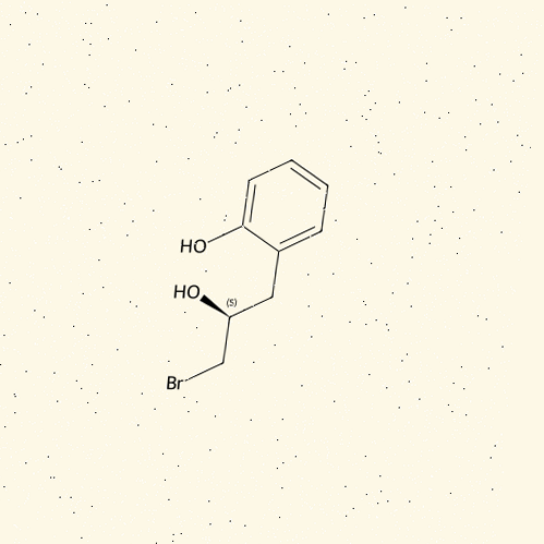 Oc1ccccc1C[C@H](O)CBr